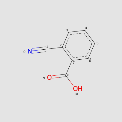 N#Cc1ccc[c]c1C(=O)O